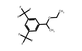 CCOC(C)c1cc(C(F)(F)F)cc(C(F)(F)F)c1